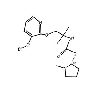 CCOc1cccnc1OCC(C)(C)NC(=O)C[C@@H]1CCCN1C